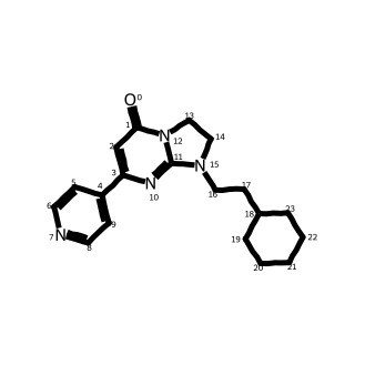 O=c1cc(-c2ccncc2)nc2n1CCN2CCC1CCCCC1